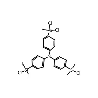 CS(C)(Cl)c1ccc(N(c2ccc([Si](Cl)(Cl)I)cc2)c2ccc([Si](Cl)(I)I)cc2)cc1